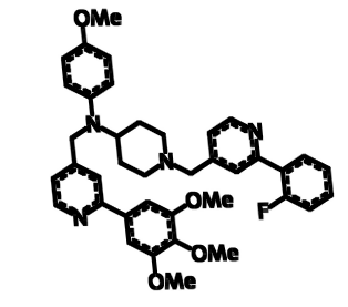 COc1ccc(N(Cc2ccnc(-c3cc(OC)c(OC)c(OC)c3)c2)C2CCN(Cc3ccnc(-c4ccccc4F)c3)CC2)cc1